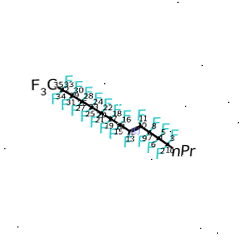 CCCC(F)(F)C(F)(F)C(F)(F)/C(F)=C(\F)C(F)(F)C(F)(F)C(F)(F)C(F)(F)C(F)(F)C(F)(F)C(F)(F)C(F)(F)F